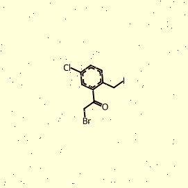 O=C(CBr)c1cc(Cl)ccc1CI